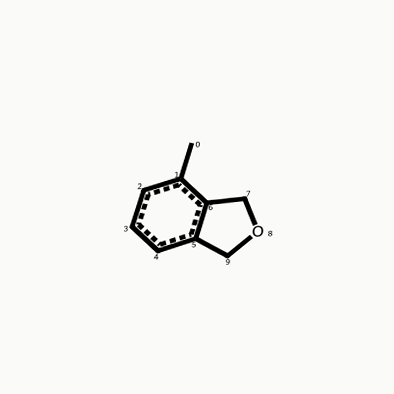 Cc1cccc2c1COC2